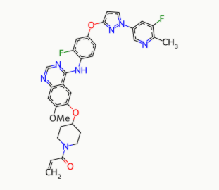 C=CC(=O)N1CCC(Oc2cc3c(Nc4ccc(Oc5ccn(-c6cnc(C)c(F)c6)n5)cc4F)ncnc3cc2OC)CC1